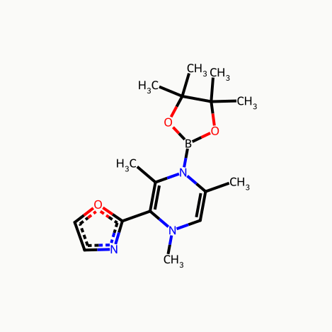 CC1=CN(C)C(c2ncco2)=C(C)N1B1OC(C)(C)C(C)(C)O1